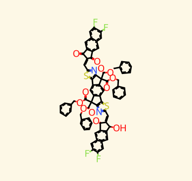 O=C1C(=Cc2nc3c(s2)-c2cc4c(cc2C3(C(=O)OCc2ccccc2)C(=O)OCc2ccccc2)-c2sc(/C=C3\C(=O)c5cc6cc(F)c(F)cc6cc5C3O)nc2C4(C(=O)OCc2ccccc2)C(=O)OCc2ccccc2)C(=O)c2cc3cc(F)c(F)cc3cc21